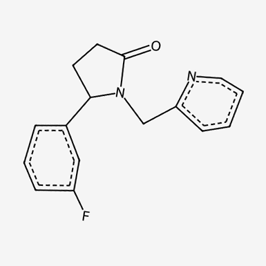 O=C1CCC(c2cccc(F)c2)N1Cc1ccccn1